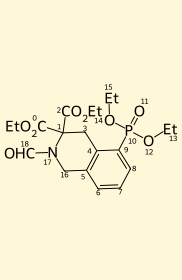 CCOC(=O)C1(C(=O)OCC)Cc2c(cccc2P(=O)(OCC)OCC)CN1C=O